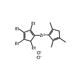 CCC1=C(CC)C(CC)[C]([Zr+2][C]2=C(C)CC(C)=C2C)=C1CC.[Cl-].[Cl-]